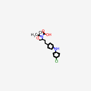 CC1(C)OCC(CCc2ccc(Nc3ccc(Cl)cc3)cc2)N1C(=O)O